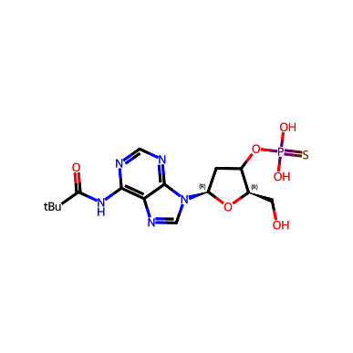 CC(C)(C)C(=O)Nc1ncnc2c1ncn2[C@H]1CC(OP(O)(O)=S)[C@@H](CO)O1